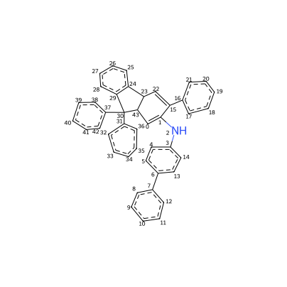 C1=C(Nc2ccc(-c3ccccc3)cc2)C(c2ccccc2)=CC2c3ccccc3C(c3ccccc3)(c3ccccc3)C12